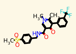 Cc1c(-c2cccc(C(F)(F)F)c2)c(=O)c(C(=O)NCc2ccc(S(C)(=O)=O)cc2)cn1C